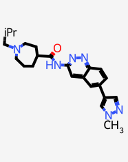 CC(C)CN1CCCC(C(=O)Nc2cc3cc(-c4cnn(C)c4)ccc3nn2)CC1